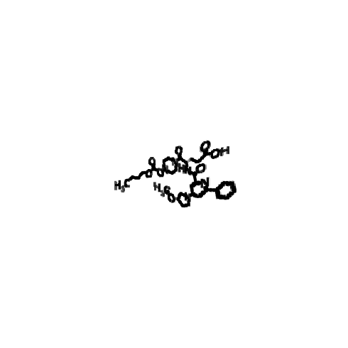 CCCCOC(=O)ON1CCN(C(=O)[C@H](CCC(=O)O)NC(=O)c2cc(N3CC[C@H](OC)C3)cc(-c3ccccc3)n2)CC1